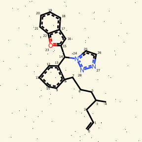 C=CCC(C)CCCc1ccccc1C(c1cc2ccccc2o1)n1ccnn1